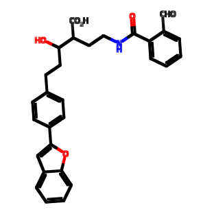 O=Cc1ccccc1C(=O)NCCC(C(=O)O)C(O)CCc1ccc(-c2cc3ccccc3o2)cc1